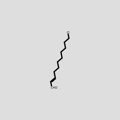 O=C/C=C/CCCCCCCCCl